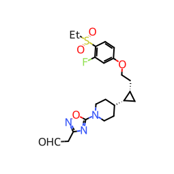 CCS(=O)(=O)c1ccc(OCC[C@@H]2C[C@@H]2C2CCN(c3nc(CC=O)no3)CC2)cc1F